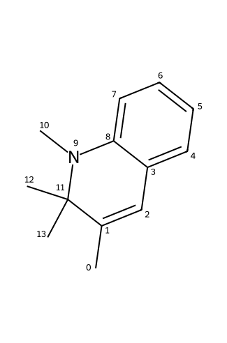 CC1=Cc2ccccc2N(C)C1(C)C